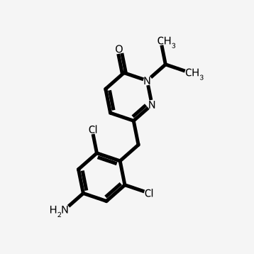 CC(C)n1nc(Cc2c(Cl)cc(N)cc2Cl)ccc1=O